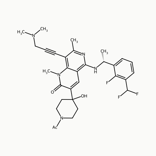 CC(=O)N1CCC(O)(c2cc3c(N[C@H](C)c4cccc(C(F)F)c4F)nc(C)c(C#CCN(C)C)c3n(C)c2=O)CC1